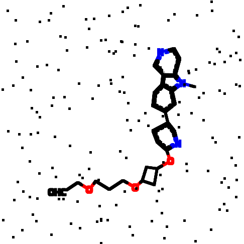 Cn1c2ccncc2c2ccc(-c3ccc(OC4CC(OCCCOCC=O)C4)nc3)cc21